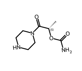 C[C@H](OC(N)=O)C(=O)N1CCNCC1